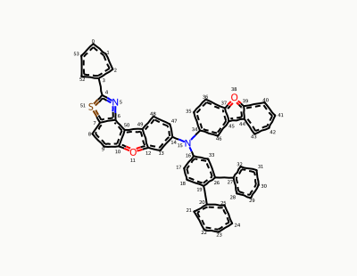 c1ccc(-c2nc3c(ccc4oc5cc(N(c6ccc(-c7ccccc7)c(-c7ccccc7)c6)c6ccc7oc8ccccc8c7c6)ccc5c43)s2)cc1